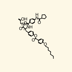 C=C(O)CNC(=O)[C@H](Cc1ccc(OC(=O)c2ccc(OCCCCCCC)cc2)cc1)NC(=O)c1ccc(NC(=O)C2CCCC2)cc1